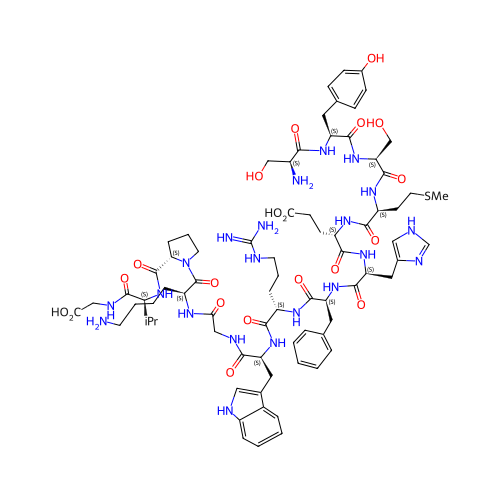 CSCC[C@H](NC(=O)[C@H](CO)NC(=O)[C@H](Cc1ccc(O)cc1)NC(=O)[C@@H](N)CO)C(=O)N[C@@H](CCC(=O)O)C(=O)N[C@@H](Cc1c[nH]cn1)C(=O)N[C@@H](Cc1ccccc1)C(=O)N[C@@H](CCCNC(=N)N)C(=O)N[C@@H](Cc1c[nH]c2ccccc12)C(=O)NCC(=O)N[C@@H](CCCCN)C(=O)N1CCC[C@H]1C(=O)N[C@H](C(=O)NCC(=O)O)C(C)C